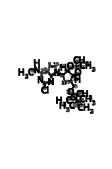 CNc1nc(Cl)nc2c1ccn2[C@@H]1C[C@H](CO[Si](C)(C)C(C)(C)C)[C@H]2OC(C)(C)O[C@H]21